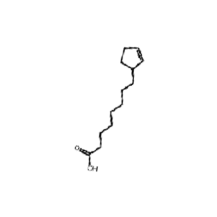 O=C(O)CCCCCCCC1C=CCC1